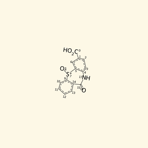 O=C(O)c1ccc2c(c1)[S+]([O-])c1ccccc1C(=O)N2